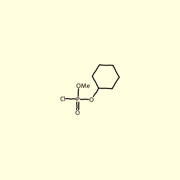 COP(=O)(Cl)OC1CCCCC1